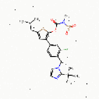 CC(C)Cc1cc(-c2ccc(Cn3ccnc3C(C)(C)C)c(F)c2)c(OC(=O)N(C)[SH](=O)=O)s1